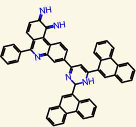 N=C1C=Cc2c(-c3ccccc3)nc3cc(C4=NC(c5cc6ccccc6c6ccccc56)NC(c5cc6ccccc6c6ccccc56)=C4)ccc3c2C1=N